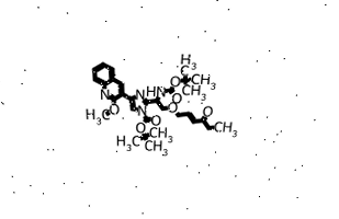 CCC(=O)C=CCOCC(NC(=O)OC(C)(C)C)c1nc(-c2cc3ccccc3nc2OC)cn1C(=O)OC(C)(C)C